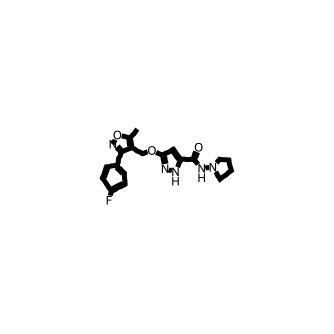 Cc1onc(-c2ccc(F)cc2)c1COc1cc(C(=O)NN2CCCC2)[nH]n1